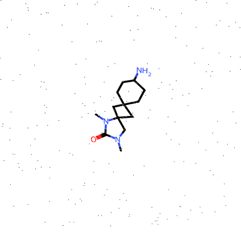 CN1CC2(CC3(CCC(N)CC3)C2)N(C)C1=O